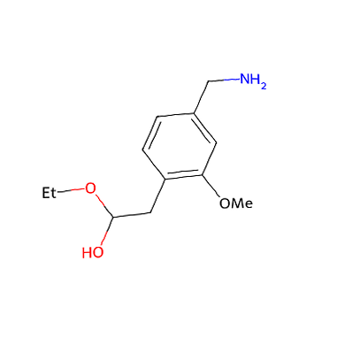 CCOC(O)Cc1ccc(CN)cc1OC